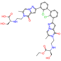 CCOC(=O)[C@H](CO)NCCn1c(C)cn2nc(-c3cccc(-c4cccc(-c5cc6c(=O)n(CCN[C@@H](CO)C(=O)O)c(C)cn6n5)c4Cl)c3Cl)cc2c1=O